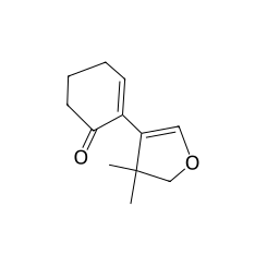 CC1(C)COC=C1C1=CCCCC1=O